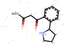 COC(=O)CC(=O)c1ccccc1C1CCCN1